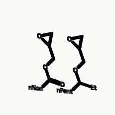 CCCCCC(CC)OCC1CO1.CCCCCCCCCC(=O)OCC1CO1